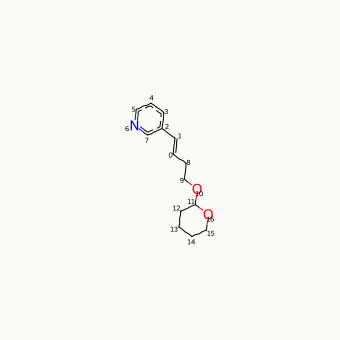 C(=Cc1cccnc1)CCOC1CCCCO1